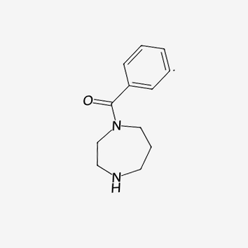 O=C(c1c[c]ccc1)N1CCCNCC1